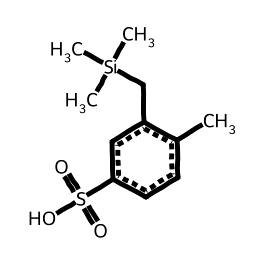 Cc1ccc(S(=O)(=O)O)cc1C[Si](C)(C)C